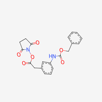 O=C(Cc1cccc(NC(=O)OCc2ccccc2)c1)ON1C(=O)CCC1=O